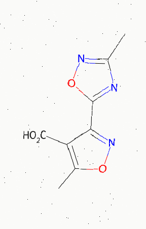 Cc1noc(-c2noc(C)c2C(=O)O)n1